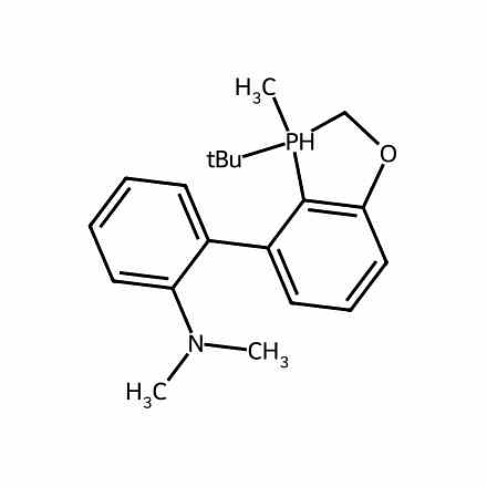 CN(C)c1ccccc1-c1cccc2c1[PH](C)(C(C)(C)C)CO2